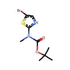 CN(C(=O)OC(C)(C)C)c1ncc(Br)s1